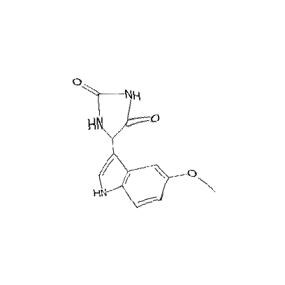 COc1ccc2[nH]cc(C3NC(=O)NC3=O)c2c1